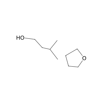 C1CCOC1.CC(C)CCO